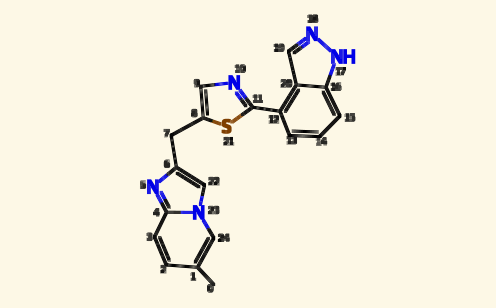 Cc1ccc2nc(Cc3cnc(-c4cccc5[nH]ncc45)s3)cn2c1